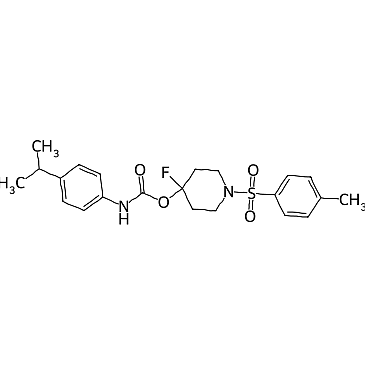 Cc1ccc(S(=O)(=O)N2CCC(F)(OC(=O)Nc3ccc(C(C)C)cc3)CC2)cc1